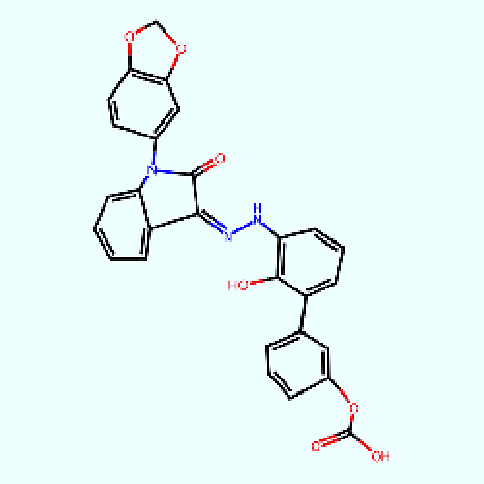 O=C(O)Oc1cccc(-c2cccc(NN=C3C(=O)N(c4ccc5c(c4)OCO5)c4ccccc43)c2O)c1